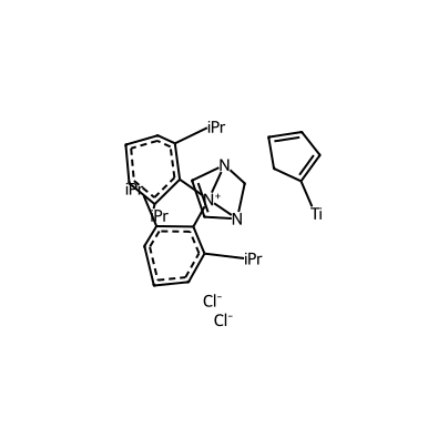 CC(C)c1cccc(C(C)C)c1[N+]1(c2c(C(C)C)cccc2C(C)C)N2C=CN1C2.[Cl-].[Cl-].[Ti][C]1=CC=CC1